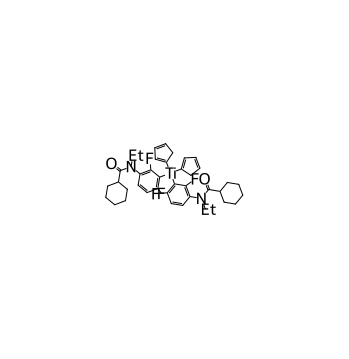 CCN(C(=O)C1CCCCC1)c1ccc(F)[c]([Ti]([C]2=CC=CC2)([C]2=CC=CC2)[c]2c(F)ccc(N(CC)C(=O)C3CCCCC3)c2F)c1F